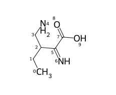 CCC(CN)C(=N)C(=O)O